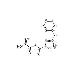 O=C(O)C(=O)CC(=O)c1c[nH]c(Cc2ccccc2)c1